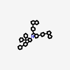 c1ccc(-c2ccc3c(c2)C(c2ccccc2)(c2ccccc2)c2cc(-n4cc(-c5ccc(-c6cccc7ccccc67)cc5)c5cc(-c6ccc(-c7cccc8ccccc78)cc6)ccc54)ccc2-3)cc1